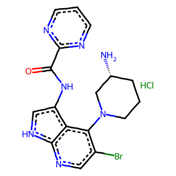 Cl.N[C@@H]1CCCN(c2c(Br)cnc3[nH]cc(NC(=O)c4ncccn4)c23)C1